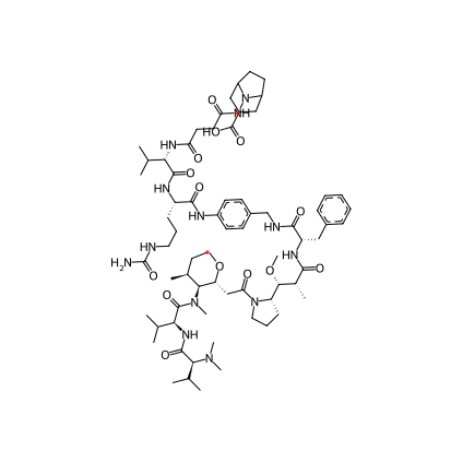 CC[C@H](C)[C@@H]([C@@H](CC(=O)N1CCC[C@H]1[C@H](OC)[C@@H](C)C(=O)N[C@@H](Cc1ccccc1)C(=O)NCc1ccc(NC(=O)[C@H](CCCNC(N)=O)NC(=O)[C@@H](NC(=O)CCC(=O)NN2C3CCC2CC(C(=O)O)C3)C(C)C)cc1)OC)N(C)C(=O)[C@@H](NC(=O)[C@H](C(C)C)N(C)C)C(C)C